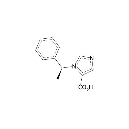 C[C@@H](c1ccccc1)n1cncc1C(=O)O